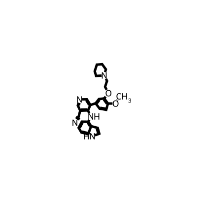 COc1ccc(-c2cncc(C#N)c2Nc2cccc3[nH]ccc23)cc1OCCN1CCCCC1